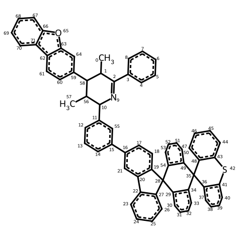 CC1C(c2ccccc2)=NC(c2cccc(-c3ccc4c(c3)-c3ccccc3C43c4ccccc4C4(c5ccccc5Sc5ccccc54)c4ccccc43)c2)C(C)C1c1ccc2c(c1)oc1ccccc12